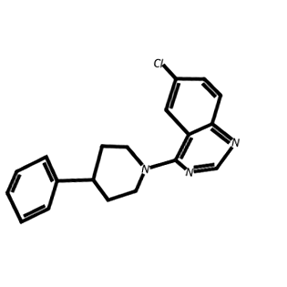 Clc1ccc2ncnc(N3CCC(c4ccccc4)CC3)c2c1